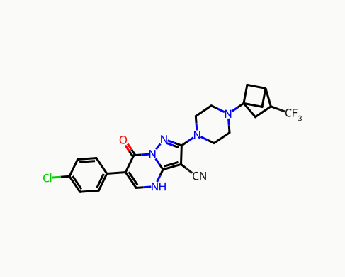 N#Cc1c(N2CCN(C34CC(C3)C(C(F)(F)F)C4)CC2)nn2c(=O)c(-c3ccc(Cl)cc3)c[nH]c12